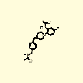 CC(=O)NCc1ccc(CN2CCN(c3ccc(F)cc3NC(C)=O)CC2)cc1